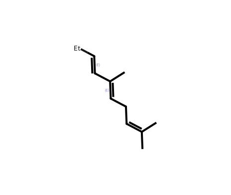 CC/C=C/C(C)=C/CC=C(C)C